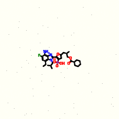 CCc1cc(F)c(N)c2nc(-c3oc(CC(C)COC(=O)C4CCCCC4)cc3P(=O)(O)O)n(CC(C)C)c12